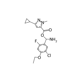 CCOc1cc(F)c(C(N)OC(=O)c2cc(C3CC3)nn2C)cc1Cl